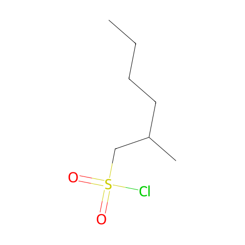 CCCCC(C)CS(=O)(=O)Cl